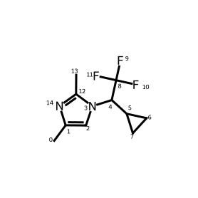 Cc1cn(C(C2CC2)C(F)(F)F)c(C)n1